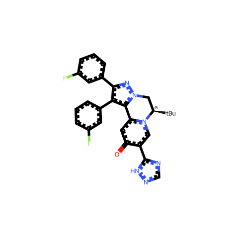 CC(C)(C)[C@@H]1Cn2nc(-c3cccc(F)c3)c(-c3cccc(F)c3)c2-c2cc(=O)c(-c3ncn[nH]3)cn21